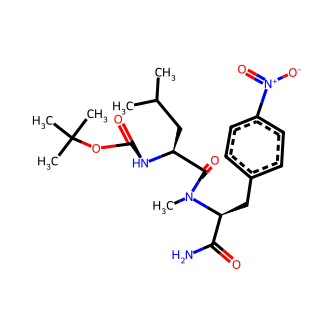 CC(C)C[C@H](NC(=O)OC(C)(C)C)C(=O)N(C)[C@@H](Cc1ccc([N+](=O)[O-])cc1)C(N)=O